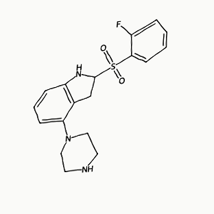 O=S(=O)(c1ccccc1F)C1Cc2c(cccc2N2CCNCC2)N1